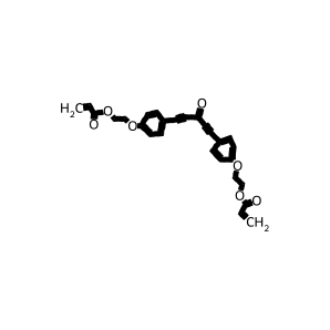 C=CC(=O)OCCOc1ccc(C#CC(=O)C#Cc2ccc(OCCOC(=O)C=C)cc2)cc1